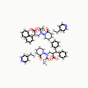 CC(=O)N(CC(C(=O)O)C(c1ccccc1)c1ccccc1)N1CCC[C@@H](CCc2ccncc2)C1=O.CC(=O)N(C[C@H](C(=O)O)c1cccc2ccccc12)N1CCC[C@@H](CCc2ccncc2)C1=O